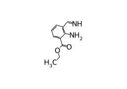 CCOC(=O)c1cccc(C=N)c1N